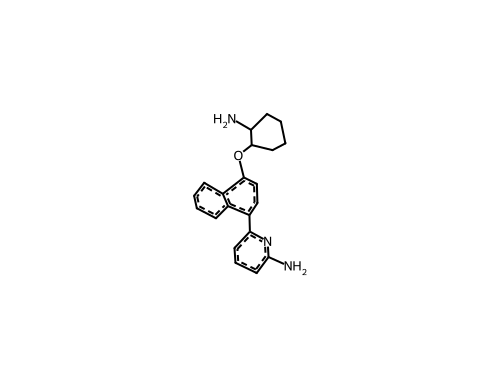 Nc1cccc(-c2ccc(OC3CCCCC3N)c3ccccc23)n1